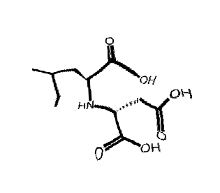 CC(C)C[C@H](N[C@H](CC(=O)O)C(=O)O)C(=O)O